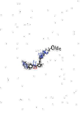 COCCCn1cc(Nc2ncc(C#Cc3cc(C(=O)Nc4ccc(CN5CCN(C)CC5)cc4)ccc3C)cn2)c(C)n1